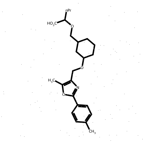 CCCC(OCC1CCCC(OCc2nc(-c3ccc(C)cc3)oc2C)C1)C(=O)O